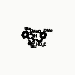 COc1ccc(C[C@H](C[C@H](O[Si](C)(C)C(C)(C)C)[C@H](Cc2ccccc2)NC(=O)OC(C)(C)C)C(=O)O)cc1OC